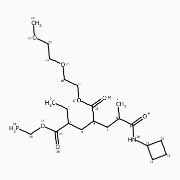 CCC(CC(CC(C)C(=O)NC1CCC1)C(=O)OCCOCCOC)C(=O)OCP